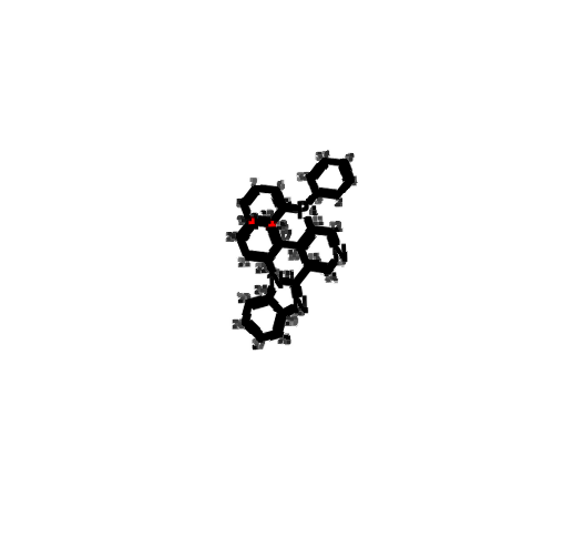 c1ccc(P(c2cccnc2)c2cncc3c2c2ccccc2n2c4ccccc4nc32)cc1